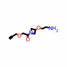 C#CCOCC(=O)N1CC(OCCN)C1